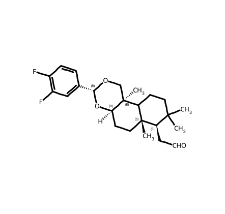 CC1(C)CCC2[C@]3(C)CO[C@@H](c4ccc(F)c(F)c4)O[C@@H]3CC[C@@]2(C)[C@@H]1CC=O